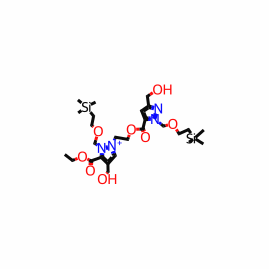 CCOC(=O)c1c(CO)c[n+](CCOC(=O)c2cc(CO)nn2COCC[Si](C)(C)C)n1COCC[Si](C)(C)C